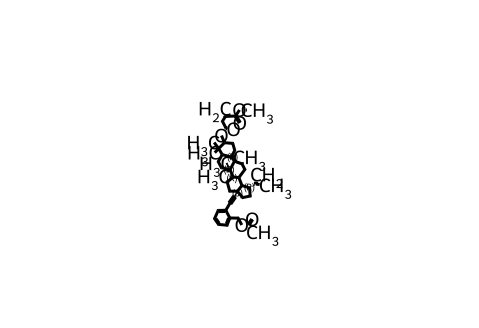 C=C(CC(=O)OC1CC[C@@]2(C)C(CC[C@]3(C)C2CCC2C4[C@H](C(=C)C)CC[C@]4(C#Cc4ccccc4COC(C)=O)CC[C@]23C)C1(C)C)C(=O)OC